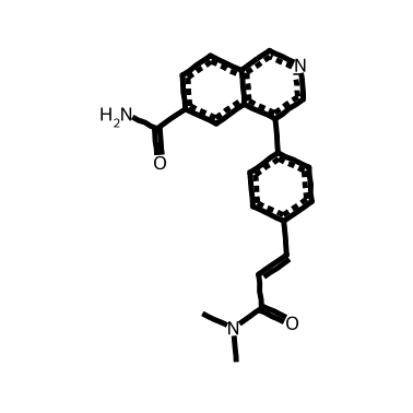 CN(C)C(=O)C=Cc1ccc(-c2cncc3ccc(C(N)=O)cc23)cc1